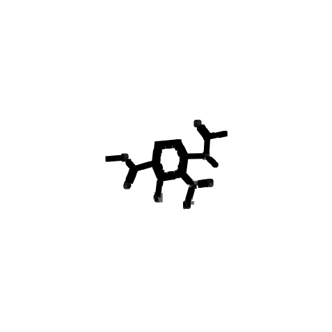 COC(=O)c1ccc(N(C)C(C)=O)c([N+](=O)[O-])c1Cl